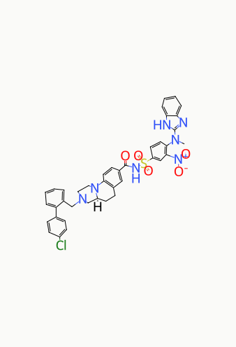 CN(c1nc2ccccc2[nH]1)c1ccc(S(=O)(=O)NC(=O)c2ccc3c(c2)CC[C@H]2CN(Cc4ccccc4-c4ccc(Cl)cc4)CCN32)cc1[N+](=O)[O-]